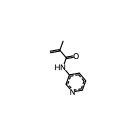 C=C(C)C(=O)Nc1cccnc1